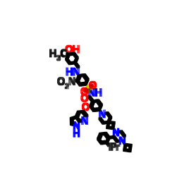 CC(C)c1ccccc1C1CN(C2CCC2)CCN1C1CC2(CCN(c3ccc(C(=O)NS(=O)(=O)c4ccc(NCC5CCC(C)(O)CC5)c([N+](=O)[O-])c4)c(Oc4cnc5[nH]ccc5c4)c3)CC2)C1